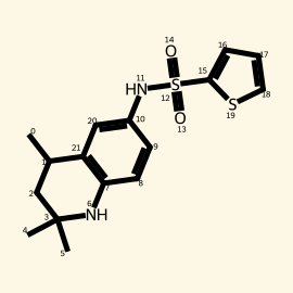 CC1CC(C)(C)Nc2ccc(NS(=O)(=O)c3cccs3)cc21